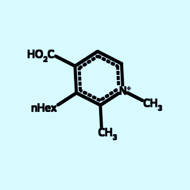 CCCCCCc1c(C(=O)O)cc[n+](C)c1C